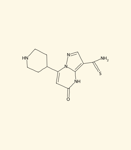 NC(=S)c1cnn2c(C3CCNCC3)cc(=O)[nH]c12